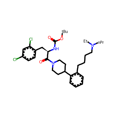 CCCN(CC)CCCCc1ccccc1C1CCN(C(=O)[C@@H](Cc2ccc(Cl)cc2Cl)NC(=O)OC(C)(C)C)CC1